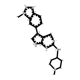 CN1CCC(Nc2ncc3c(-c4ccc5nnn(C)c5c4)c[nH]c3n2)CC1